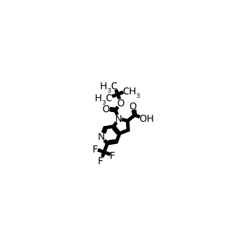 CC(C)(C)OC(=O)N1c2cnc(C(F)(F)F)cc2CC1C(=O)O